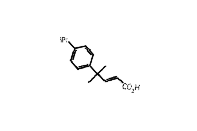 CC(C)c1ccc(C(C)(C)C=CC(=O)O)cc1